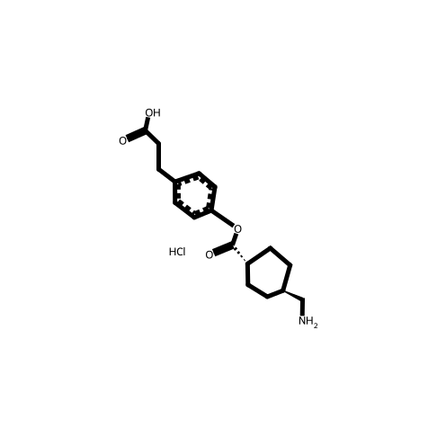 Cl.NC[C@H]1CC[C@H](C(=O)Oc2ccc(CCC(=O)O)cc2)CC1